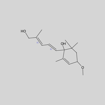 COC1C=C(C)C(O)(/C=C/C=C(\C)CO)C(C)(C)C1